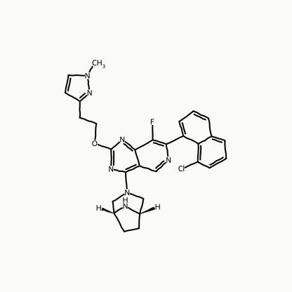 Cn1ccc(CCOc2nc(N3C[C@H]4CC[C@@H](C3)N4)c3cnc(-c4cccc5cccc(Cl)c45)c(F)c3n2)n1